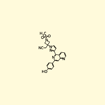 CS(=O)(=O)N1CC(CC#N)(n2ccc(-c3nc(-c4ccc(O)cc4)cc4ncccc34)n2)C1